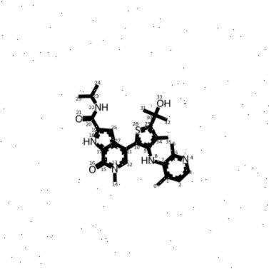 Cc1ccnc(C)c1Nc1c(-c2cn(C)c(=O)c3[nH]c(C(=O)NC(C)C)cc23)sc(C(C)(C)O)c1C